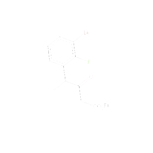 CCOC(=O)CC(=O)C(C)c1cccc(Br)c1F